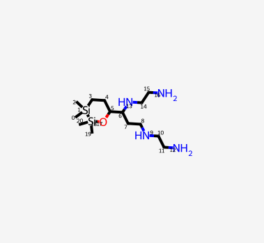 C[Si]1(C)CCC(C(CCNCCN)NCCN)O[Si]1(C)C